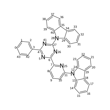 c1ccc(-c2nc(-c3cccc(-n4c5ccccc5c5ccccc54)n3)nc(-n3c4ccccc4c4ccccc43)n2)cc1